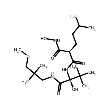 COCC(C)(C)CNC(=O)[C@](O)(NC(=O)[C@H](CCC(C)C)C(=O)NO)C(C)(C)C